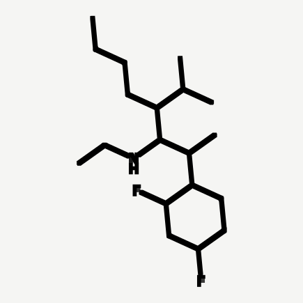 CCCCC(C(C)C)C(NCC)C(C)C1CCC(F)CC1F